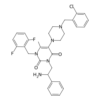 Cc1c(N2CCN(Cc3ccccc3Cl)CC2)c(=O)n(CC(N)c2ccccc2)c(=O)n1Cc1c(F)cccc1F